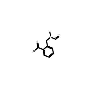 CN(C=O)Cc1ccccc1C(N)=O